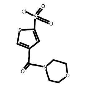 O=C(c1csc(S(=O)(=O)Cl)c1)N1CCOCC1